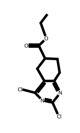 CCOC(=O)C1CCc2nc(Cl)nc(Cl)c2C1